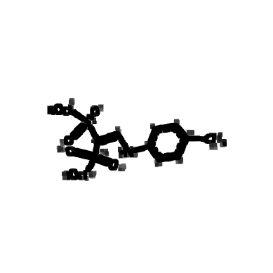 CCCCCCCCS(=O)(=O)C(=CNc1ccc(C)cc1)S(=O)(=O)CCCCCCCC